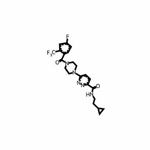 O=C(NCCC1CC1)c1ccc(N2CCN(C(=O)c3ccc(F)cc3C(F)(F)F)CC2)nn1